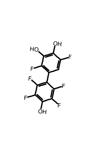 Oc1c(F)cc(-c2c(F)c(F)c(O)c(F)c2F)c(F)c1O